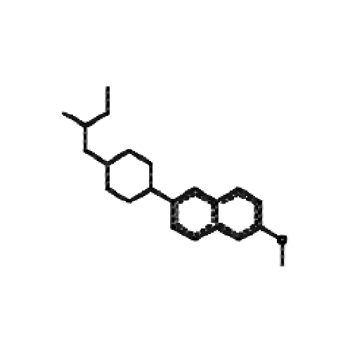 CCC(C)CC1CCC(c2ccc3cc(OC)ccc3c2)CC1